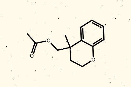 CC(=O)OCC1(C)CCOc2ccccc21